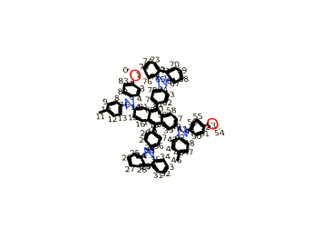 COc1ccc(N(c2ccc(C)cc2)c2ccc3c(-c4ccc(-n5c6ccccc6c6ccccc65)cc4)c4cc(N(c5ccc(C)cc5)c5ccc(OC)cc5)ccc4c(-c4ccc(-n5c6ccccc6c6ccccc65)cc4)c3c2)cc1